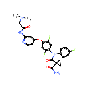 CN(C)CC(=O)Nc1cc(Oc2cc(F)c(N(C(=O)C3(C(N)=O)CC3)c3ccc(F)cc3)cc2F)ccn1